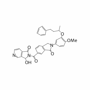 COc1ccc(N2Cc3ccc(C(=O)N4C(=O)c5ccncc5C4O)cc3C2=O)cc1OC(C)CCc1ccccc1